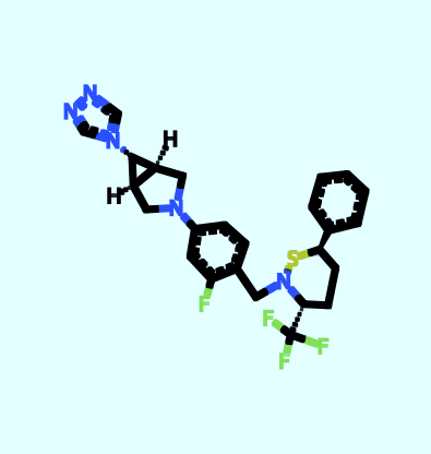 Fc1cc(N2C[C@@H]3[C@H](C2)[C@H]3n2cnnc2)ccc1CN1S[C@@H](c2ccccc2)CC[C@@H]1C(F)(F)F